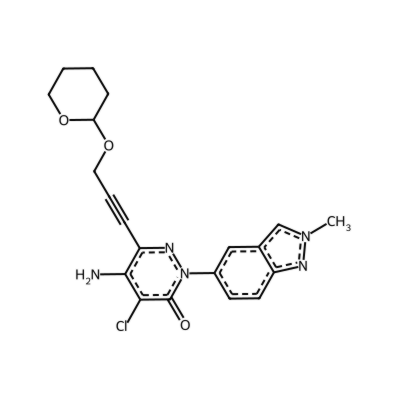 Cn1cc2cc(-n3nc(C#CCOC4CCCCO4)c(N)c(Cl)c3=O)ccc2n1